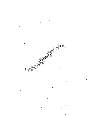 CCCCCCCCc1ccc(SSSSc2ccc(CCCCCCCC)cc2)cc1